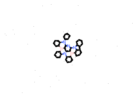 c1ccc(N2c3ccccc3B3c4ccccc4N4c5ccccc5B5c6c(nc2c3c64)-n2c3ccccc3c3cccc5c32)cc1